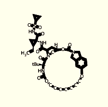 C=C[C@H]1C[C@@]1(NC(=O)C1C[C@@H]2CN1C(=O)[C@H](C(C)(C)C)NC(=O)OCCCCCCCOc1ccc3c(c1)CN(C3)C(=O)O2)C(=O)NS(=O)(=O)C1CC1